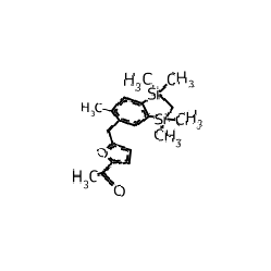 CC(=O)c1ccc(Cc2cc3c(cc2C)[Si](C)(C)C[Si]3(C)C)o1